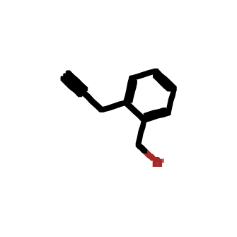 C#CCc1ccccc1CBr